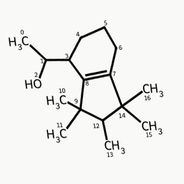 CC(O)C1CCCC2=C1C(C)(C)C(C)C2(C)C